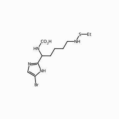 CCSNCCCCC(NC(=O)O)c1ncc(Br)[nH]1